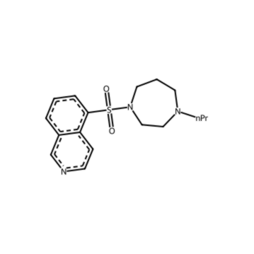 CCCN1CCCN(S(=O)(=O)c2cccc3cnccc23)CC1